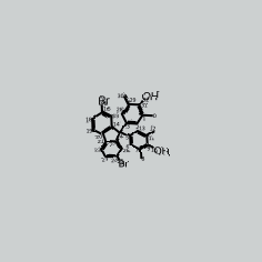 Cc1cc(C2(c3cc(C)c(O)c(C)c3)c3cc(Br)ccc3-c3ccc(Br)cc32)cc(C)c1O